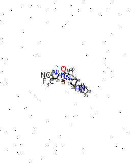 N#Cc1ncc(N2C(=O)C3(CCC3)N(c3ccc(C4=CC5CCC(C4)N5)cc3)C2=S)cc1C(F)(F)F